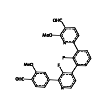 COc1cc(-c2nccc(-c3cccc(-c4ccc(C=O)c(OC)n4)c3F)c2F)ccc1C=O